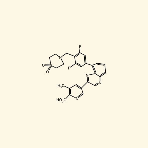 Cc1cc(-c2cnc3cccc(-c4cc(F)c(CN5CCS(=O)(=O)CC5)c(F)c4)c3n2)cnc1C(=O)O